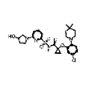 CC1(C)CCN(c2ccc(Cl)cc2OC2(C(=O)NS(=O)(=O)c3cccc(N4CCC(O)C4)n3)CC2)CC1